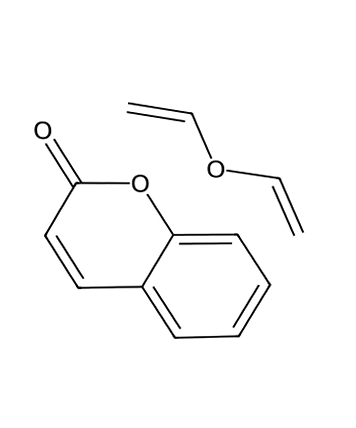 C=COC=C.O=c1ccc2ccccc2o1